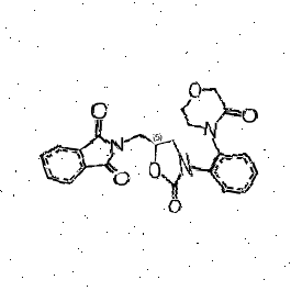 O=C1c2ccccc2C(=O)N1C[C@H]1CN(c2ccccc2N2CCOCC2=O)C(=O)O1